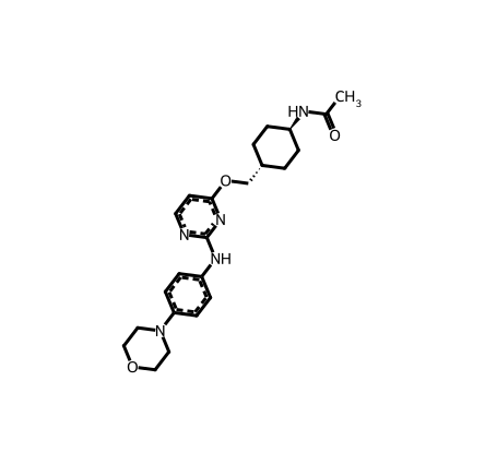 CC(=O)N[C@H]1CC[C@H](COc2ccnc(Nc3ccc(N4CCOCC4)cc3)n2)CC1